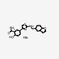 Br.NC(=O)c1cc(-c2csc(NCc3ccc4occc4c3)n2)ccc1O